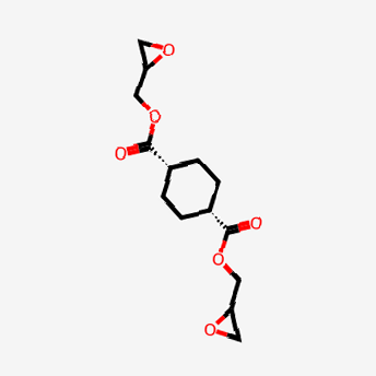 O=C(OCC1CO1)[C@H]1CC[C@@H](C(=O)OCC2CO2)CC1